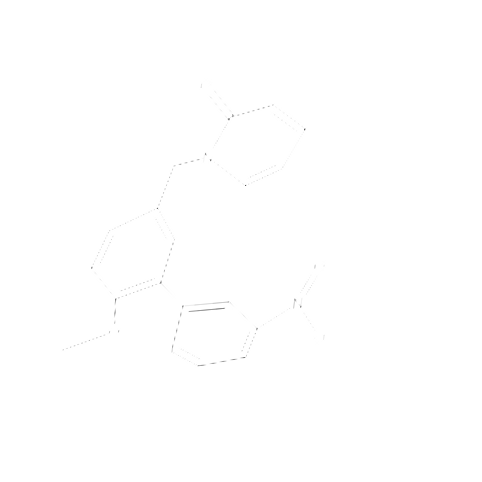 COc1ccc(Cn2ccccc2=O)cc1-c1cccc([N+](=O)[O-])c1